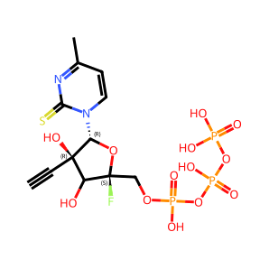 C#C[C@@]1(O)C(O)[C@@](F)(COP(=O)(O)OP(=O)(O)OP(=O)(O)O)O[C@H]1n1ccc(C)nc1=S